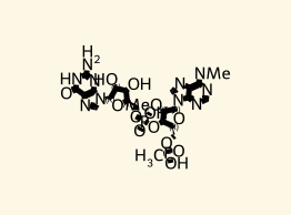 CNc1ncnc2c1ncn2[C@@H]1O[C@H](COP(C)(=O)O)C(OP(=O)(O)OC[C@H]2O[C@@H](n3cnc4c(=O)[nH]c(N)nc43)[C@@H](O)C2O)[C@@H]1OC